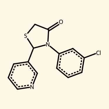 O=C1CSC(c2cccnc2)N1c1cccc(Cl)c1